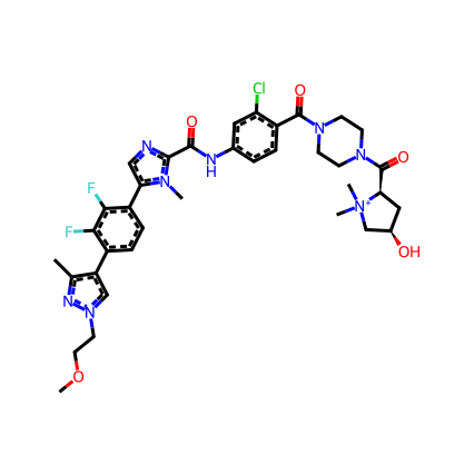 COCCn1cc(-c2ccc(-c3cnc(C(=O)Nc4ccc(C(=O)N5CCN(C(=O)[C@H]6C[C@@H](O)C[N+]6(C)C)CC5)c(Cl)c4)n3C)c(F)c2F)c(C)n1